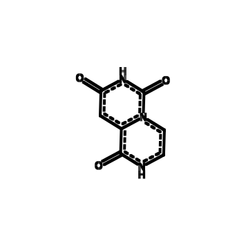 O=c1cc2c(=O)[nH]ccn2c(=O)[nH]1